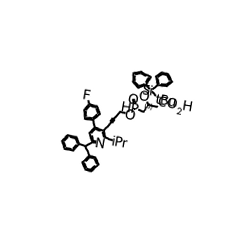 CC(C)c1nc(C(c2ccccc2)c2ccccc2)cc(-c2ccc(F)cc2)c1C#CCO[PH](=O)C[C@H](CC(=O)O)O[Si](c1ccccc1)(c1ccccc1)C(C)(C)C